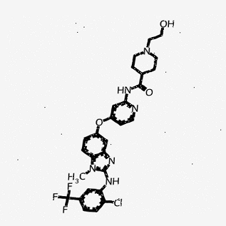 Cn1c(Nc2cc(C(F)(F)F)ccc2Cl)nc2cc(Oc3ccnc(NC(=O)C4CCN(CCO)CC4)c3)ccc21